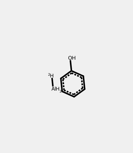 Oc1ccccc1.[2H][AlH2]